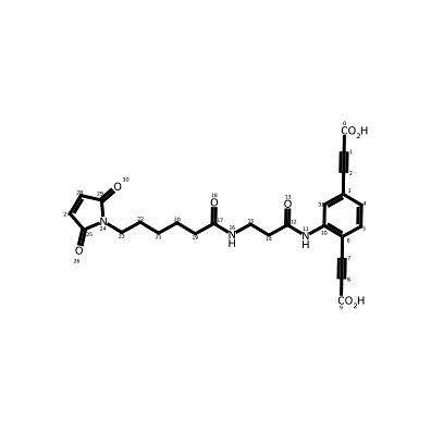 O=C(O)C#Cc1ccc(C#CC(=O)O)c(NC(=O)CCNC(=O)CCCCCN2C(=O)C=CC2=O)c1